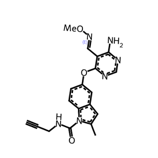 C#CCNC(=O)n1c(C)cc2cc(Oc3ncnc(N)c3/C=N/OC)ccc21